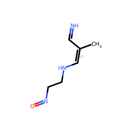 C/C(C=N)=C/NCCN=O